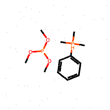 COP(OC)OC.C[PH](C)(C)c1ccccc1